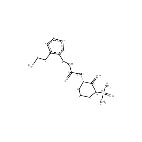 CCCc1ccccc1COC(=O)N[C@H]1CCCN(P(N)(N)=O)C1=O